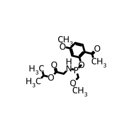 COCP(NCC(=O)OC(C)C)Oc1cc(OC)ccc1C(C)=O